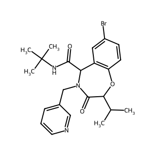 CC(C)C1Oc2ccc(Br)cc2C(C(=O)NC(C)(C)C)N(Cc2cccnc2)C1=O